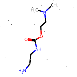 CN(C)CCOC(=O)NCCN